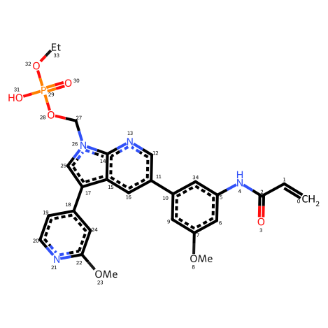 C=CC(=O)Nc1cc(OC)cc(-c2cnc3c(c2)c(-c2ccnc(OC)c2)cn3COP(=O)(O)OCC)c1